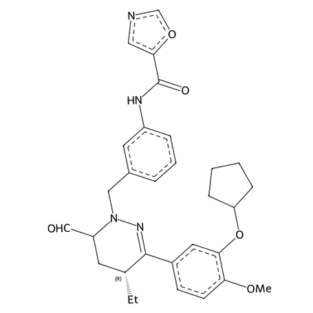 CC[C@@H]1CC(C=O)N(Cc2cccc(NC(=O)c3cnco3)c2)N=C1c1ccc(OC)c(OC2CCCC2)c1